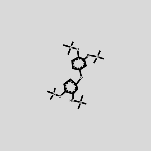 C[Si](C)(C)Nc1cc(Oc2ccc(O[Si](C)(C)C)c(N[Si](C)(C)C)c2)ccc1O[Si](C)(C)C